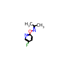 CC(C)=NOc1ccc(F)cn1